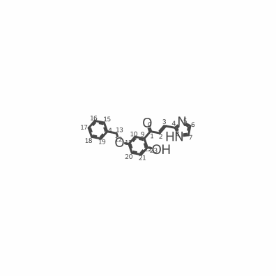 O=C(C=Cc1ncc[nH]1)c1cc(OCc2ccccc2)ccc1O